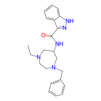 CCN1CCN(Cc2ccccc2)CC(NC(=O)c2n[nH]c3ccccc23)C1